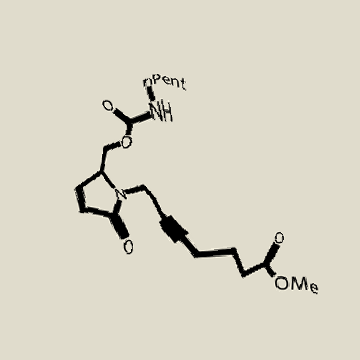 CCCCCNC(=O)OCC1CCC(=O)N1CC#CCCCC(=O)OC